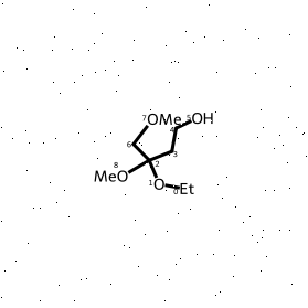 CCOC(CCO)(COC)OC